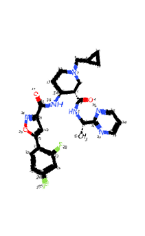 C[C@H](NC(=O)[C@H]1CN(CC2CC2)CC[C@@H]1NC(=O)c1cc(-c2ccc(F)cc2F)on1)c1ncccn1